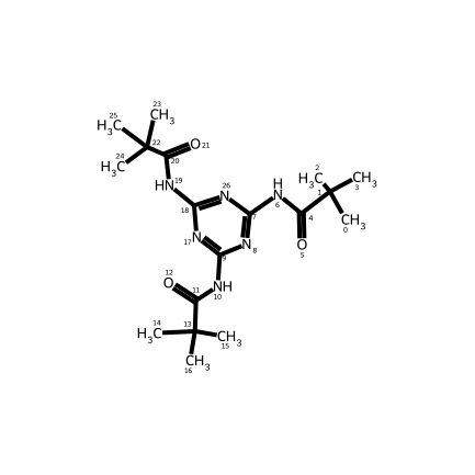 CC(C)(C)C(=O)Nc1nc(NC(=O)C(C)(C)C)nc(NC(=O)C(C)(C)C)n1